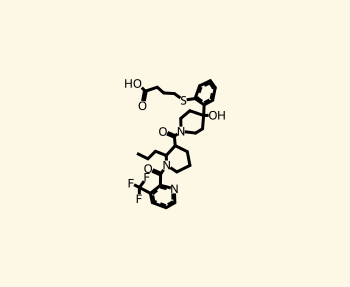 CCCC1C(C(=O)N2CCC(O)(c3ccccc3SCCCC(=O)O)CC2)CCCN1C(=O)c1ncccc1C(F)(F)F